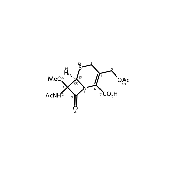 COC1(NC(C)=O)C(=O)N2C(C(=O)O)=C(COC(C)=O)CS[C@@H]21